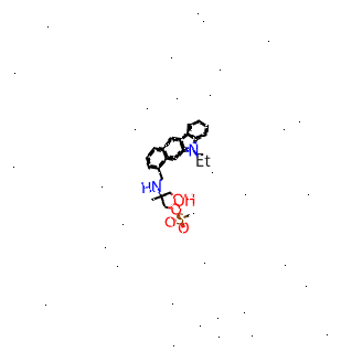 CCn1c2ccccc2c2cc3cccc(CNC(C)(CO)COS(C)(=O)=O)c3cc21